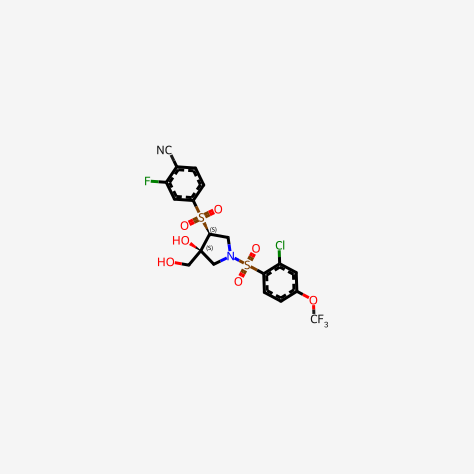 N#Cc1ccc(S(=O)(=O)[C@H]2CN(S(=O)(=O)c3ccc(OC(F)(F)F)cc3Cl)C[C@]2(O)CO)cc1F